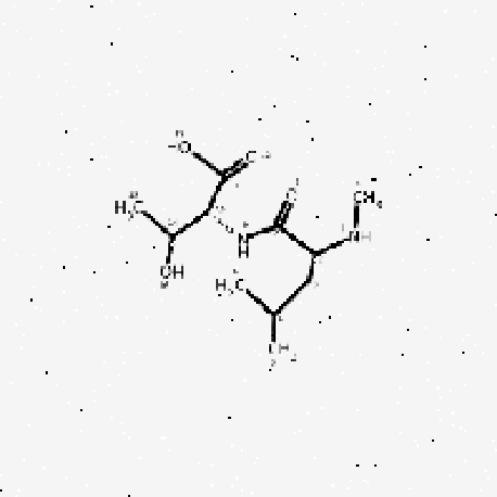 CNC(CC(C)C)C(=O)N[C@@H](C(=O)O)C(C)O